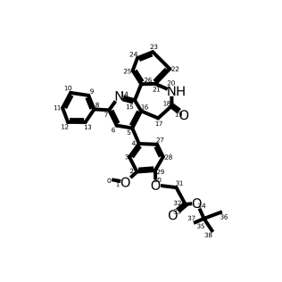 COc1cc(-c2cc(-c3ccccc3)nc3c2CC(=O)Nc2ccccc2-3)ccc1OCC(=O)OC(C)(C)C